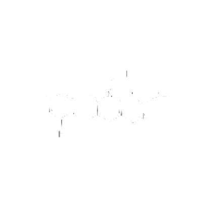 CCn1c(=O)c(Oc2ccc(F)cc2F)cc2cnc(C)nc21